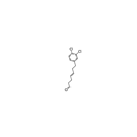 O=[C]CC/C=C/CCc1ccc(Cl)c(Cl)c1